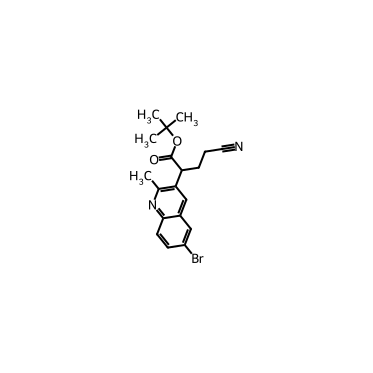 Cc1nc2ccc(Br)cc2cc1C(CCC#N)C(=O)OC(C)(C)C